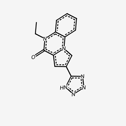 CCn1c(=O)c2cc(-c3nnn[nH]3)cn2c2ccccc21